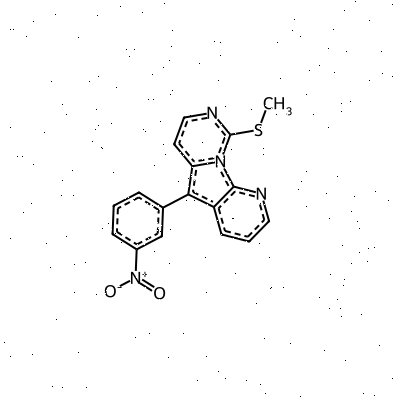 CSc1nccc2c(-c3cccc([N+](=O)[O-])c3)c3cccnc3n12